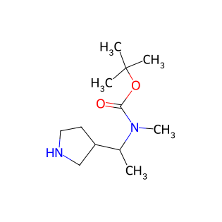 CC(C1CCNC1)N(C)C(=O)OC(C)(C)C